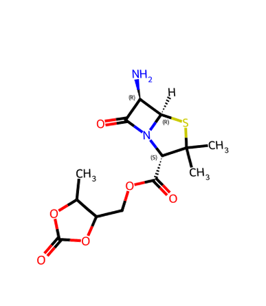 CC1OC(=O)OC1COC(=O)[C@@H]1N2C(=O)[C@@H](N)[C@H]2SC1(C)C